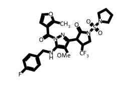 COc1c(C2C(=O)N(S(=O)(=O)N3CCCC3)CC2C(F)(F)F)nn(C(=O)c2ccoc2C)c1NCc1ccc(F)cc1